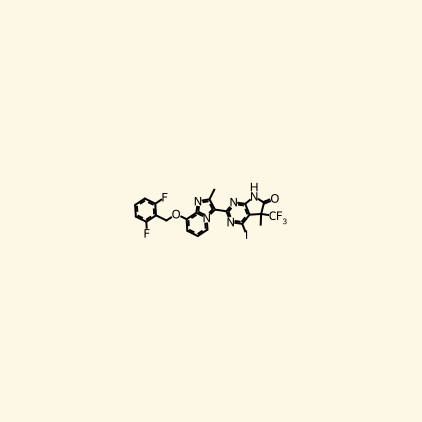 Cc1nc2c(OCc3c(F)cccc3F)cccn2c1-c1nc(I)c2c(n1)NC(=O)C2(C)C(F)(F)F